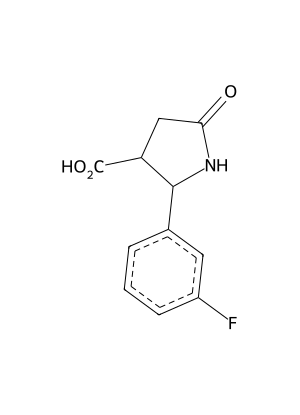 O=C1CC(C(=O)O)C(c2cccc(F)c2)N1